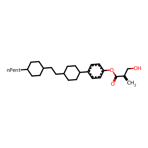 C=C(CO)C(=O)Oc1ccc(C2CCC(CCC3CCC(CCCCC)CC3)CC2)cc1